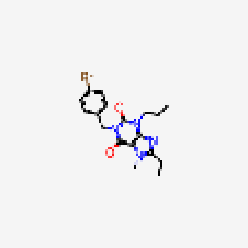 CCCn1c(=O)n(Cc2ccc(Br)cc2)c(=O)c2c1nc(CC)n2C